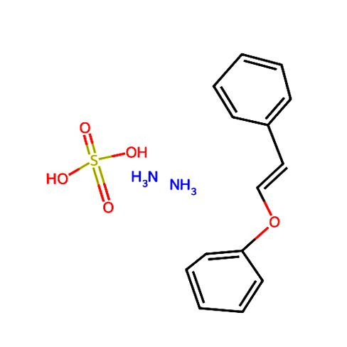 C(=Cc1ccccc1)Oc1ccccc1.N.N.O=S(=O)(O)O